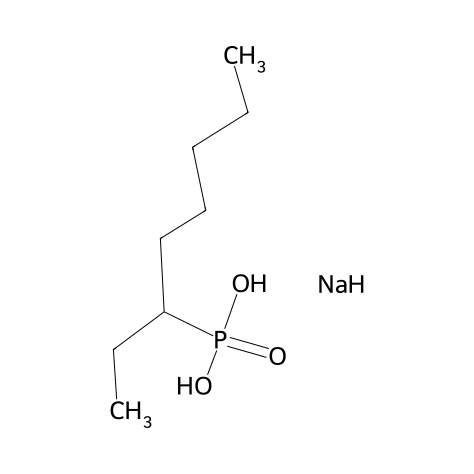 CCCCCC(CC)P(=O)(O)O.[NaH]